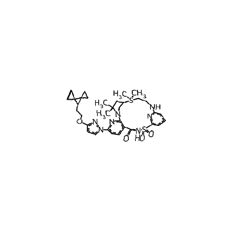 CC1(C)CC2CN1c1nc(-n3ccc(OCCC4C5(CC5)C45CC5)n3)ccc1C(=O)NS(=O)(=O)c1cccc(n1)NCCS2(C)C